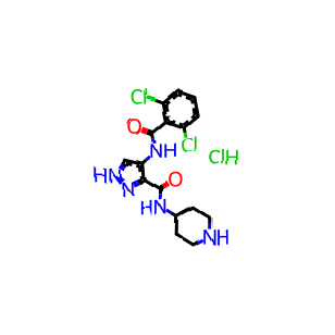 Cl.O=C(NC1CCNCC1)c1n[nH]cc1NC(=O)c1c(Cl)cccc1Cl